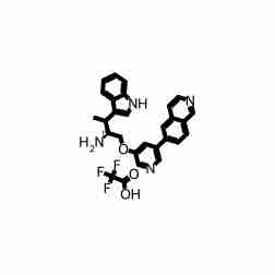 CC(c1c[nH]c2ccccc12)[C@H](N)COc1cncc(-c2ccc3cnccc3c2)c1.O=C(O)C(F)(F)F